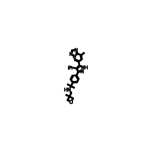 Cc1cc(-c2[nH]nc(-c3ccc(C(C)(C)NCC4(C)COC4)cc3)c2C(C)C)cn2ncnc12